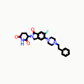 O=C1CCC(N2Cc3cc(N4CCN(CCc5ccccc5)CC4)c(F)cc3C2=O)C(=O)N1